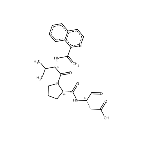 C=C(N[C@H](C(=O)N1CCC[C@H]1C(=O)N[C@H](C=O)CC(=O)O)C(C)C)c1nccc2ccccc12